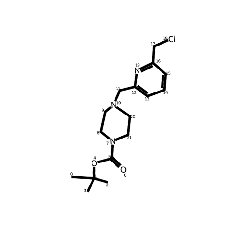 CC(C)(C)OC(=O)N1CCN(Cc2cccc(CCl)n2)CC1